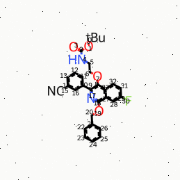 CC(C)(C)OC(=O)NCCOc1c(-c2cccc(C#N)c2)nc(OCc2ccccc2)c2cc(F)ccc12